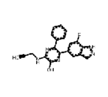 C#CCNc1nc(-c2ccccc2)c(-c2cc(Cl)c3[nH]ncc3c2)nc1O